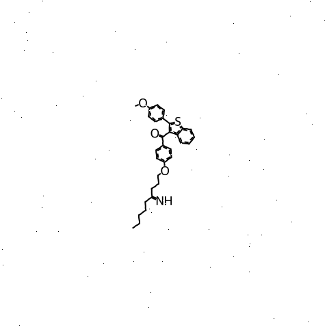 CCCCCC(=N)CCCOc1ccc(C(=O)c2c(-c3ccc(OC)cc3)sc3ccccc23)cc1